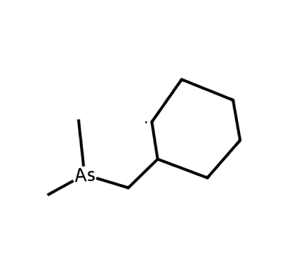 C[As](C)CC1[CH]CCCC1